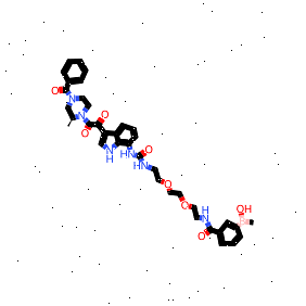 CB(O)c1cccc(C(=O)NCCOCCOCCNC(=O)Nc2cccc3c(C(=O)C(=O)N4CCN(C(=O)c5ccccc5)C[C@H]4C)c[nH]c23)c1